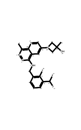 Cc1nnc(NCc2cccc(C(F)F)c2F)c2cc(N3CC(C)(O)C3)cnc12